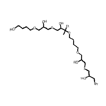 CCC(C)(OCCCCOCC(O)CSCC(O)CC(C)C)C(O)CSCC(O)COCCCCO